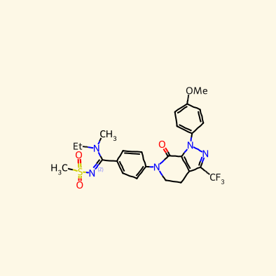 CCN(C)/C(=N\S(C)(=O)=O)c1ccc(N2CCc3c(C(F)(F)F)nn(-c4ccc(OC)cc4)c3C2=O)cc1